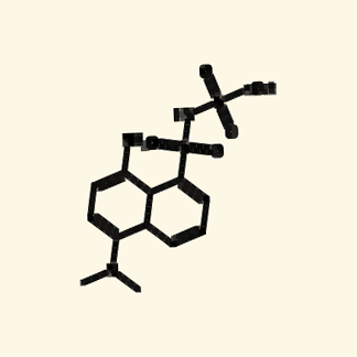 CCCCCCCCS(=O)(=O)NS(=O)(=O)C1=CC=CC2C(N(C)C)=CC=C(N)C12